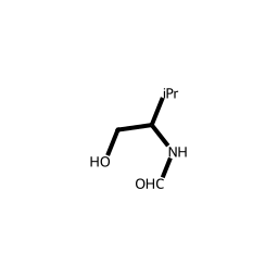 CC(C)C(CO)NC=O